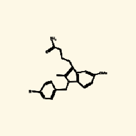 COc1ccc2c(c1)c(CCCC(N)=O)c(C)n2Cc1ccc(Br)cc1